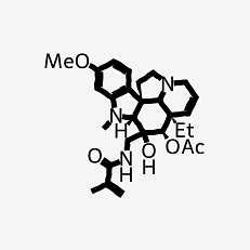 C=C(C)C(=O)NCC1(O)[C@H](OC(C)=O)[C@]2(CC)C=CCN3CC[C@@]4(c5ccc(OC)cc5N(C)[C@@H]14)C32